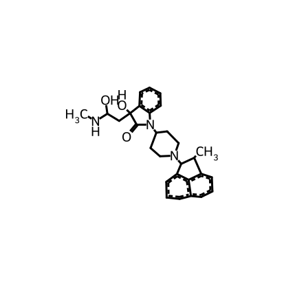 CNC(O)CC1(O)C(=O)N(C2CCN(C3c4cccc5cccc(c45)C3C)CC2)c2ccccc21